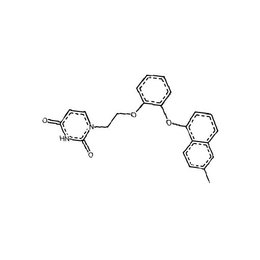 Cc1ccc2c(Oc3ccccc3OCCn3ccc(=O)[nH]c3=O)cccc2c1